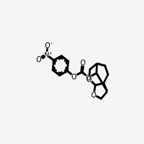 O=C(Oc1ccc([N+](=O)[O-])cc1)OC1C2CCC3C(OC2)OCC31